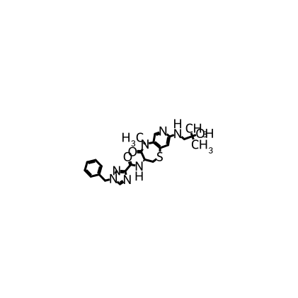 CN1C(=O)[C@@H](NC(=O)c2ncn(Cc3ccccc3)n2)CSc2cc(NCC(C)(C)O)ncc21